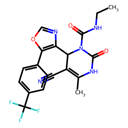 CCNC(=O)N1C(=O)NC(C)=C(C#N)C1c1ncoc1-c1ccc(C(F)(F)F)cc1